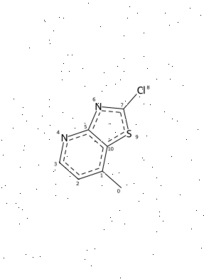 Cc1ccnc2nc(Cl)sc12